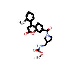 CCCCOC(=O)NCC1CCN(C(=O)c2ccc3c(-c4ccccc4C)cc(=O)oc3c2)C1